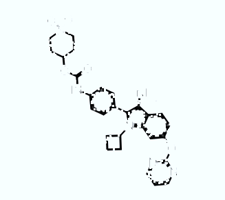 Nc1c(-c2ccc(NC(=O)OC3CCS(=O)(=O)CC3)cc2)n(C2CCC2)c2cc(Oc3ncccn3)ccc12